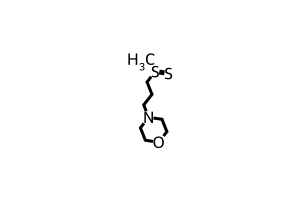 CS(=S)CCCN1CCOCC1